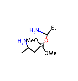 CCC(N)O[Si](CC(C)N)(OC)OC